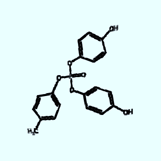 Cc1ccc(OP(=O)(Oc2ccc(O)cc2)Oc2ccc(O)cc2)cc1